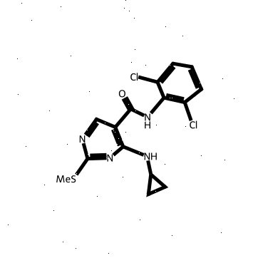 CSc1ncc(C(=O)Nc2c(Cl)cccc2Cl)c(NC2CC2)n1